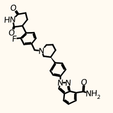 NC(=O)c1cccc2cn(-c3ccc([C@@H]4CCCN(Cc5ccc(C6CCC(=O)NC6=O)c(F)c5)C4)cc3)nc12